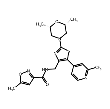 Cc1cc(C(=O)NCc2nc(N3C[C@@H](C)O[C@@H](C)C3)sc2-c2ccnc(C(F)(F)F)c2)no1